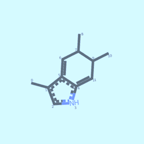 Cc1c[nH]c2c1=CC(C)C(C)C=2